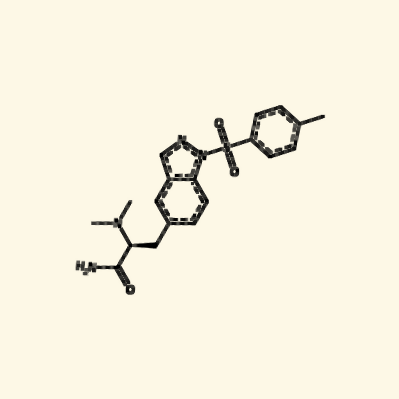 Cc1ccc(S(=O)(=O)n2ncc3cc(C[C@@H](C(N)=O)N(C)C)ccc32)cc1